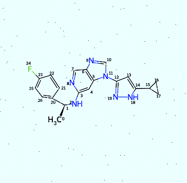 C[C@H](Nc1cc2c(cn1)ncn2-c1cc(C2CC2)[nH]n1)c1ccc(F)cc1